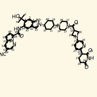 CC(C)(O)c1cc2nn([C@H]3CC[C@H](N4CCN(C(=O)C5CN(c6ccc(C7CCC(=O)NC7=O)nc6)C5)CC4)CC3)cc2cc1NC(=O)c1ccc2cc(C#N)cnn12